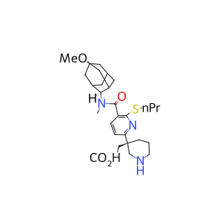 CCCSc1nc([C@]2(CC(=O)O)CCCNC2)ccc1C(=O)N(C)[C@H]1C2CC3CC1C[C@@](OC)(C3)C2